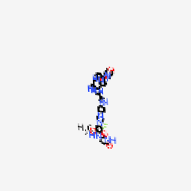 COc1cc(N2CCN(C3CCC(n4cc(-c5cn6ncc(C#N)c6c(-c6ccc(N7CC8COCC(C7)N8Cc7ccccn7)nc6)n5)cn4)CC3)CC2)c(F)cc1NC1CCC(=O)NC1=O